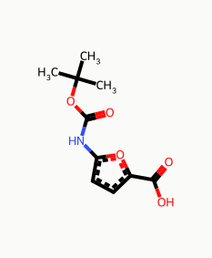 CC(C)(C)OC(=O)Nc1ccc(C(=O)O)o1